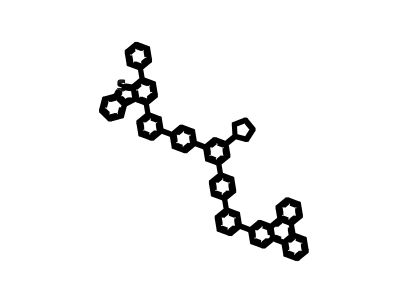 c1ccc(-c2ccc(-c3cccc(-c4ccc(-c5cc(-c6ccc(-c7cccc(-c8ccc9c%10ccccc%10c%10ccccc%10c9c8)c7)cc6)cc(C6CCCC6)c5)cc4)c3)c3c2sc2ccccc23)cc1